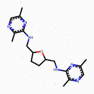 Cc1cnc(C)c(NCC2CCC(CNc3nc(C)cnc3C)O2)n1